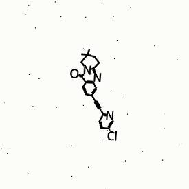 CC1(C)CCc2nc3cc(C#Cc4ccc(Cl)cn4)ccc3c(=O)n2C1